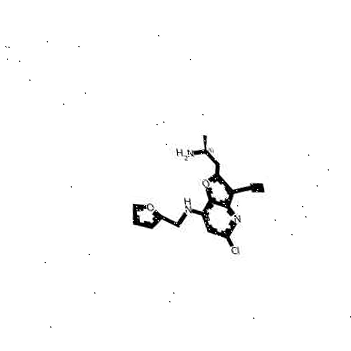 C#Cc1c(C[C@H](C)N)oc2c(NCc3ccco3)cc(Cl)nc12